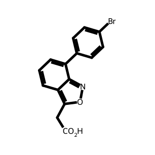 O=C(O)Cc1onc2c(-c3ccc(Br)cc3)cccc12